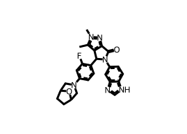 Cc1c2c(nn1C)C(=O)N(c1ccc3[nH]cnc3c1)C2c1ccc(N2CC3CCC(C2)O3)cc1F